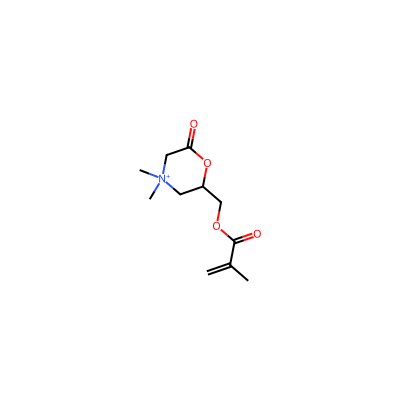 C=C(C)C(=O)OCC1C[N+](C)(C)CC(=O)O1